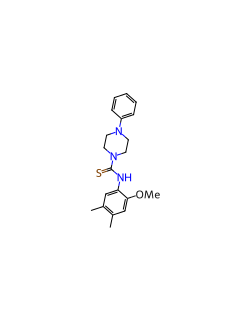 COc1cc(C)c(C)cc1NC(=S)N1CCN(c2ccccc2)CC1